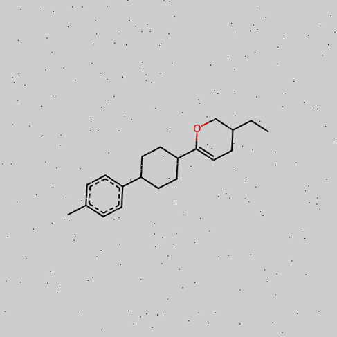 CCC1CC=C(C2CCC(c3ccc(C)cc3)CC2)OC1